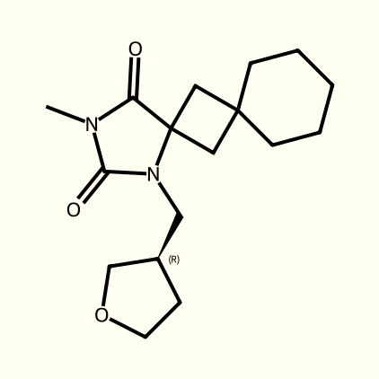 CN1C(=O)N(C[C@H]2CCOC2)C2(CC3(CCCCC3)C2)C1=O